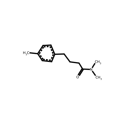 Cc1ccc(CCCC(=O)N(C)C)cc1